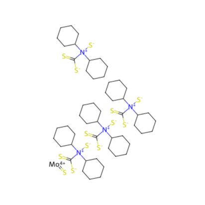 S=C([S-])[N+]([S-])(C1CCCCC1)C1CCCCC1.S=C([S-])[N+]([S-])(C1CCCCC1)C1CCCCC1.S=C([S-])[N+]([S-])(C1CCCCC1)C1CCCCC1.S=C([S-])[N+]([S-])(C1CCCCC1)C1CCCCC1.[S]=[Mo+4]